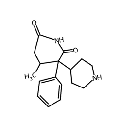 CC1CC(=O)NC(=O)C1(c1ccccc1)C1CCNCC1